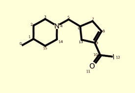 CC1CCN(CC2CC=C(C(=O)I)C2)CC1